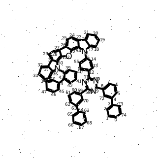 c1ccc(-c2cccc(-c3nc(-c4ccc(-n5c6ccccc6c6ccc7c8ccc9c%10ccccc%10n(-c%10ccccc%10-c%10ccccc%10)c9c8oc7c65)cc4)nc(-c4cccc(-c5ccccc5)c4)n3)c2)cc1